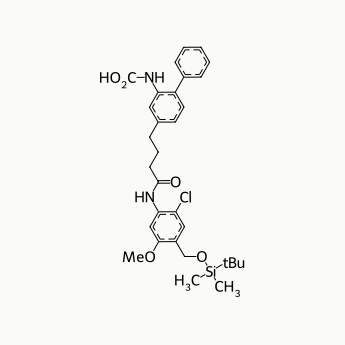 COc1cc(NC(=O)CCCc2ccc(-c3ccccc3)c(NC(=O)O)c2)c(Cl)cc1CO[Si](C)(C)C(C)(C)C